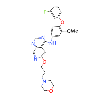 COc1cc(Nc2ncnc3cnc(OCCCN4CCOCC4)cc23)ccc1Oc1cccc(F)c1